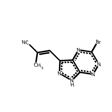 CC(C#N)=Cc1n[nH]c2nnc(Br)nc12